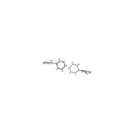 C#C[C@H]1CC[C@H](c2ccc(CCCCC)cc2)CC1